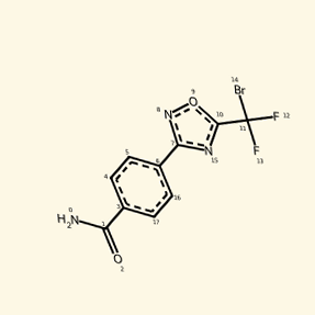 NC(=O)c1ccc(-c2noc(C(F)(F)Br)n2)cc1